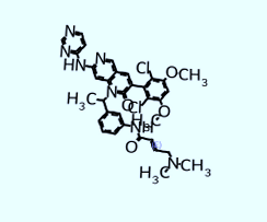 COc1cc(OC)c(Cl)c(-c2cc3cnc(Nc4ccncn4)cc3n(C(C)c3cccc(NC(=O)/C=C/CN(C)C)c3)c2=O)c1Cl